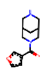 O=C(c1ccoc1)N1CC2CNCC(C2)C1